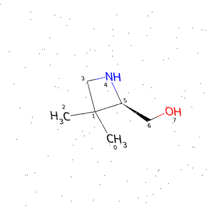 CC1(C)CN[C@H]1CO